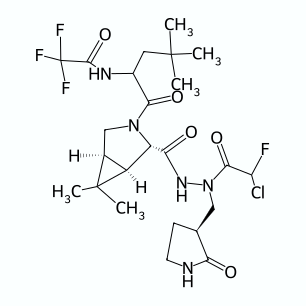 CC(C)(C)CC(NC(=O)C(F)(F)F)C(=O)N1C[C@H]2[C@@H]([C@H]1C(=O)NN(C[C@@H]1CCNC1=O)C(=O)C(F)Cl)C2(C)C